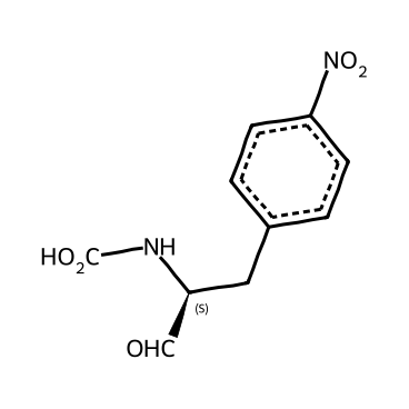 O=C[C@H](Cc1ccc([N+](=O)[O-])cc1)NC(=O)O